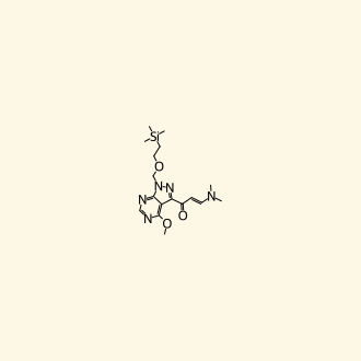 COc1ncnc2c1c(C(=O)C=CN(C)C)nn2COCC[Si](C)(C)C